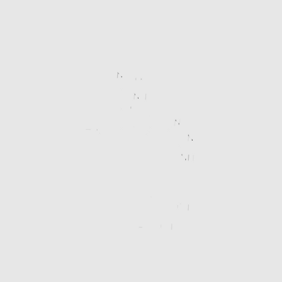 CCOc1cc(-c2cc(NCCc3sc4ccc(F)c(C)c4c3C)ncn2)sc1C(=O)NS(N)(=O)=O